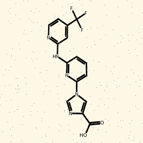 O=C(O)c1cn(-c2cccc(Nc3cc(C(F)(F)F)ccn3)n2)cn1